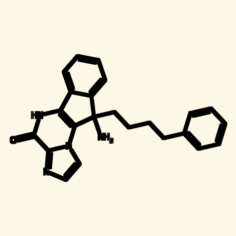 NC1(CCCCc2ccccc2)c2ccccc2-c2[nH]c(=O)c3nccn3c21